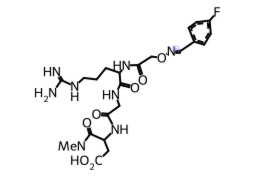 CNC(=O)C(CC(=O)O)NC(=O)CNC(=O)C(CCCNC(=N)N)NC(=O)CO/N=C/c1ccc(F)cc1